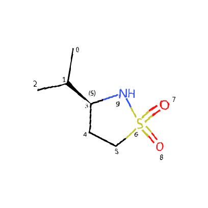 CC(C)[C@@H]1CCS(=O)(=O)N1